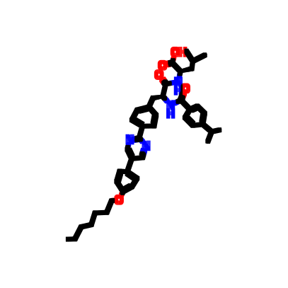 CCCCCCCOc1ccc(-c2cnc(-c3ccc(C[C@H](NC(=O)c4ccc(C(C)C)cc4)C(=O)N[C@H](CC(C)C)C(=O)O)cc3)nc2)cc1